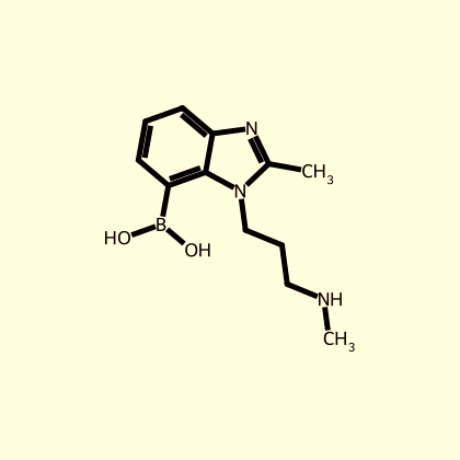 CNCCCn1c(C)nc2cccc(B(O)O)c21